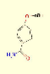 CCCCOc1ccc(C(N)=O)cc1